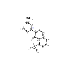 N=C/C(=C\NN)c1cnc2cccc(C(F)(F)F)c2n1